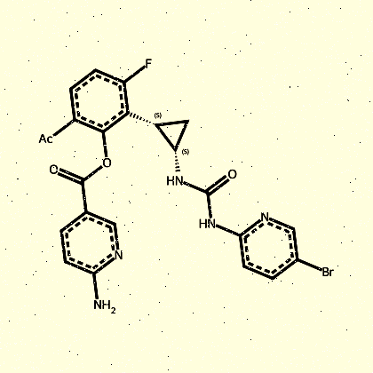 CC(=O)c1ccc(F)c([C@@H]2C[C@@H]2NC(=O)Nc2ccc(Br)cn2)c1OC(=O)c1ccc(N)nc1